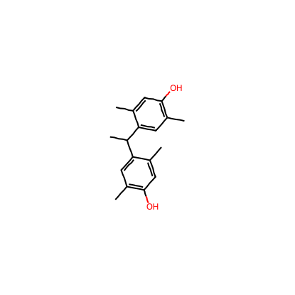 Cc1cc(C(C)c2cc(C)c(O)cc2C)c(C)cc1O